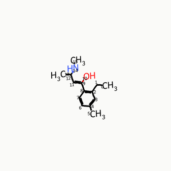 CCc1cc(C)ccc1/C(O)=C/C(C)NC